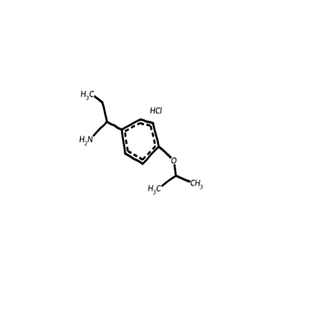 CCC(N)c1ccc(OC(C)C)cc1.Cl